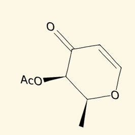 CC(=O)O[C@H]1C(=O)C=CO[C@H]1C